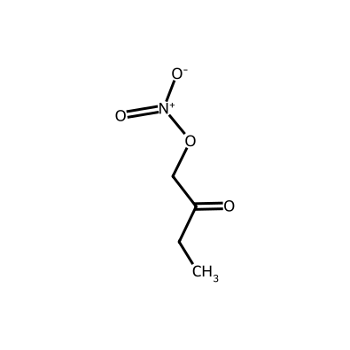 CCC(=O)CO[N+](=O)[O-]